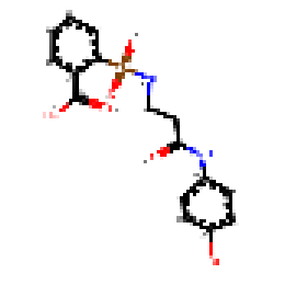 O=C(CCNS(=O)(=O)c1ccccc1C(=O)O)Nc1ccc(O)cc1